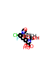 COc1cc2c(cc1Cc1cc(N3CCOCC3)cc(Cl)c1F)c(=O)c(C(=O)O)cn2[C@H](CO)[C@H](C)OC